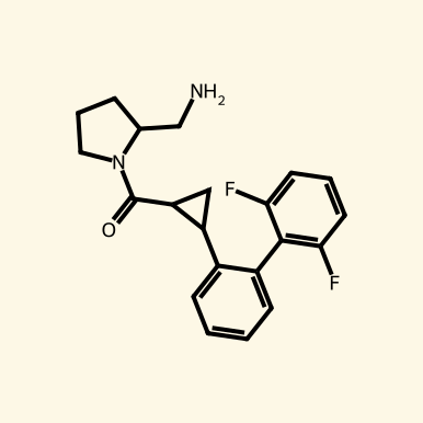 NCC1CCCN1C(=O)C1CC1c1ccccc1-c1c(F)cccc1F